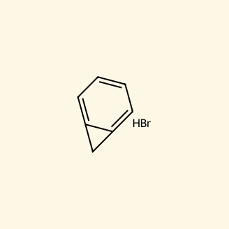 Br.c1ccc2c(c1)C2